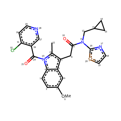 COc1ccc2c(c1)c(CC(=O)N(CC1CC1)c1nccs1)c(C)n2C(=O)c1cnccc1Cl